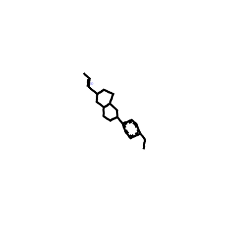 C/C=C/C1CCC2CC(c3ccc(CC)cc3)CCC2C1